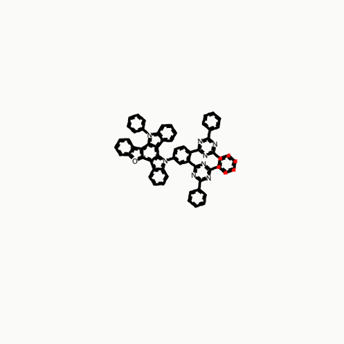 c1ccc(-c2nc(-c3ccccc3)nc(-c3ccc(-n4c5ccccc5c5c6oc7ccccc7c6c6c(c7ccccc7n6-c6ccccc6)c54)cc3-c3nc(-c4ccccc4)nc(-c4ccccc4)n3)n2)cc1